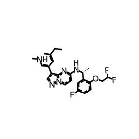 CC/C(C)=C/C(=C\NC)c1cnn2ccc(N[C@H](C)c3cc(F)ccc3OCC(F)F)nc12